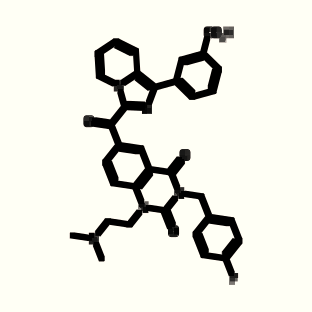 CN(C)CCn1c(=O)n(Cc2ccc(F)cc2)c(=O)c2cc(C(=O)c3nc(-c4cccc(C(=O)O)c4)c4ccccn34)ccc21